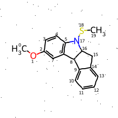 COc1ccc2c(c1)C1c3ccccc3CC1N2SC